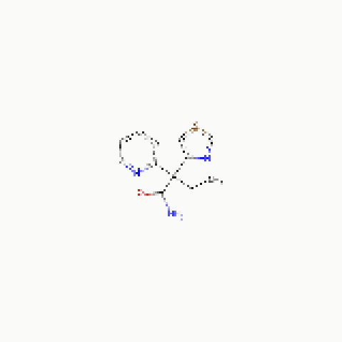 CCC(C(N)=O)(c1ccccn1)c1cscn1